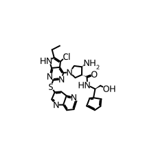 CCc1[nH]c2nc(Sc3cnc4cccnc4c3)nc(N3C[C@H](N)[C@H](C(=O)N[C@@H](CO)c4ccccc4)C3)c2c1Cl